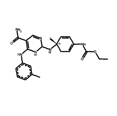 CCOC(=O)NC1=CC[C@](I)(NC2N=CC(C(N)=O)=C(Nc3cccc(C)c3)N2)C=C1